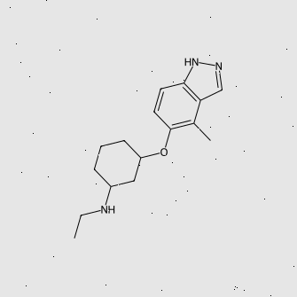 CCNC1CCCC(Oc2ccc3[nH]ncc3c2C)C1